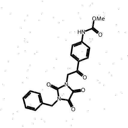 COC(=O)Nc1ccc(C(=O)CN2C(=O)C(=O)N(Cc3ccccc3)C2=O)cc1